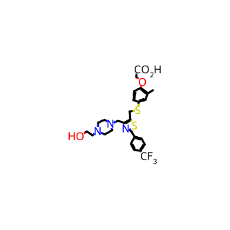 Cc1cc(SCc2sc(-c3ccc(C(F)(F)F)cc3)nc2CN2CCN(CCO)CC2)ccc1OCC(=O)O